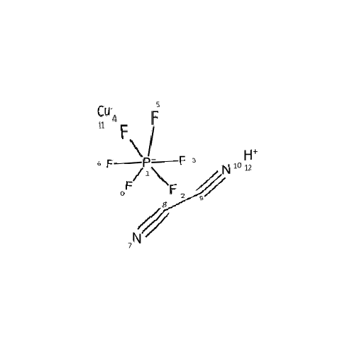 F[P-](F)(F)(F)(F)F.N#CC#N.[Cu].[H+]